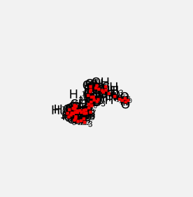 CC(=O)N[C@@H](CCCCNC(=O)CCCCCN1C(=O)C=CC1=O)C(=O)NCC(=O)N[C@@H](CC(=O)O)C(=O)N[C@@H](CCC(=O)O)C(=O)N[C@H](C(=O)N[C@@H](CC(=O)O)C(=O)Nc1ccc(COC(=O)O[C@@H](C(=O)O[C@H]2C[C@@]3(O)[C@@H](OC(=O)c4ccccc4)C4[C@](C)(C(=O)[C@H](OC(C)=O)C(=C2C)C3(C)C)[C@@H](O)C[C@H]2OC[C@@]42OC(C)=O)[C@@H](NC(=O)c2ccccc2)c2ccccc2)cc1)C(C)C